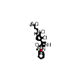 CN(C)C(=O)CCn1nc2ccc(-c3c[nH]c4nc(N5C6CCCC5CNC6)n(C)c(=O)c34)c(Cl)c2c1Cl